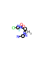 C[C@]1(Cn2cnc3ccc(C#N)cc32)CCC[C@@]2(CN(c3ncc(Cl)cc3F)C(=O)O2)C1